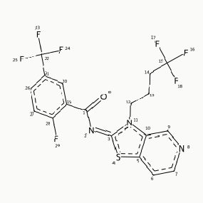 O=C(N=c1sc2ccncc2n1CCCC(F)(F)F)c1cc(C(F)(F)F)ccc1F